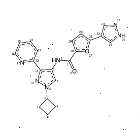 O=C(Nc1cn(C2CCC2)nc1-c1ccccn1)c1ccc(-c2cn[nH]c2)o1